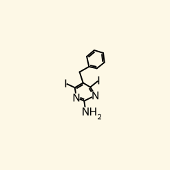 Nc1nc(I)c(Cc2ccccc2)c(I)n1